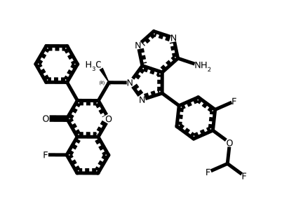 C[C@H](c1oc2cccc(F)c2c(=O)c1-c1ccccc1)n1nc(-c2ccc(OC(F)F)c(F)c2)c2c(N)ncnc21